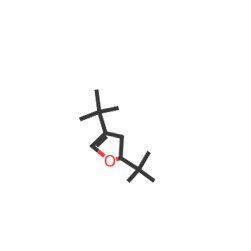 CC(C)(C)C1=COC(C(C)(C)C)C1